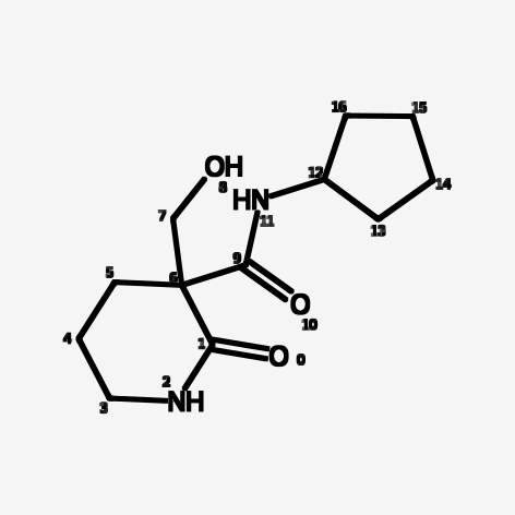 O=C1NCCCC1(CO)C(=O)NC1CCCC1